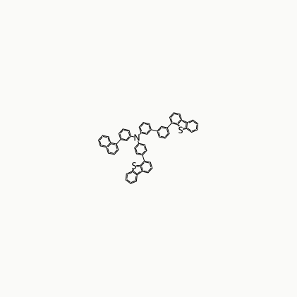 c1cc(-c2cccc(N(c3ccc(-c4cccc5c4sc4ccccc45)cc3)c3cccc(-c4cccc5ccccc45)c3)c2)cc(-c2cccc3c2sc2ccccc23)c1